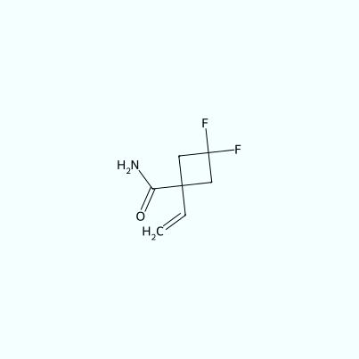 C=CC1(C(N)=O)CC(F)(F)C1